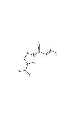 C/C=C/C(=O)N1CCC(C(C)C)C1